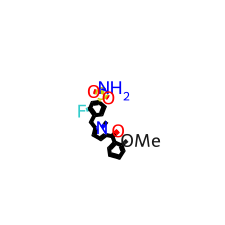 COc1ccccc1C(=O)c1ccc(Cc2ccc(S(N)(=O)=O)cc2F)n1C